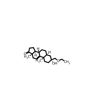 CCOC[C@@]1(O)CC[C@]2(C)C3=CC[C@]4(C)C(=O)CC[C@H]4[C@@H]3CC[C@H]2C1